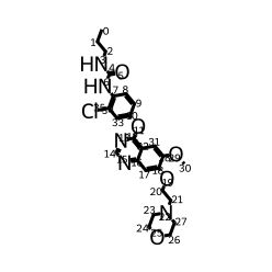 CCCNC(=O)Nc1ccc(Oc2ncnc3cc(OCCN4CCOCC4)c(OC)cc23)cc1Cl